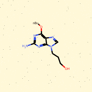 CCCCOc1nc(N)nc2c1ncn2CCCO